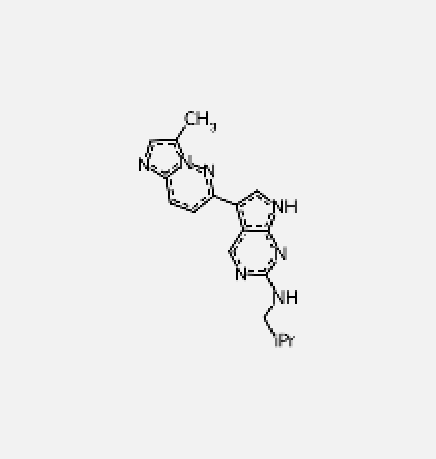 Cc1cnc2ccc(-c3c[nH]c4nc(NCC(C)C)ncc34)nn12